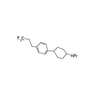 CCCC1CCC(c2ccc(CCC(F)(F)F)cc2)CC1